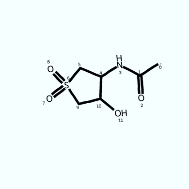 [CH2]C(=O)NC1CS(=O)(=O)CC1O